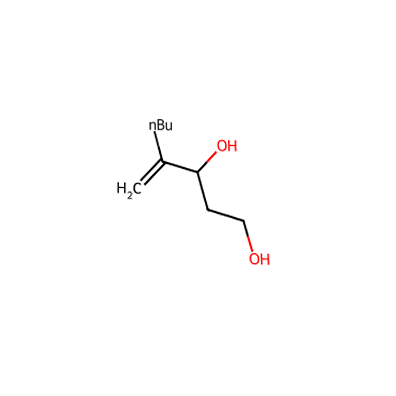 C=C(CCCC)C(O)CCO